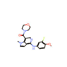 COc1ccc(Nc2ncc(C(=O)N3CCOCC3)c3c2ccn3C)cc1F